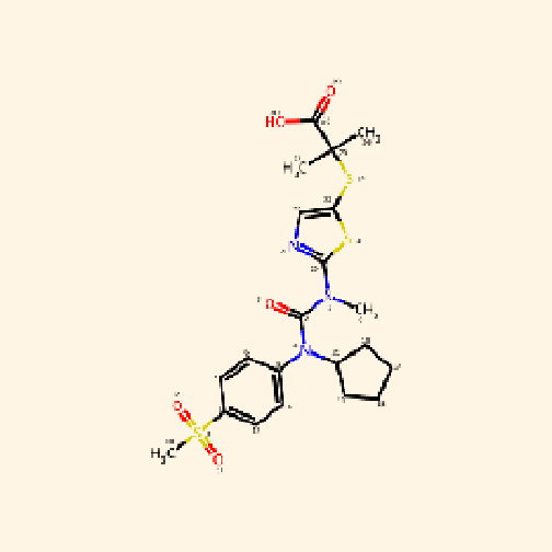 CN(C(=O)N(c1ccc(S(C)(=O)=O)cc1)C1CCCC1)c1ncc(SC(C)(C)C(=O)O)s1